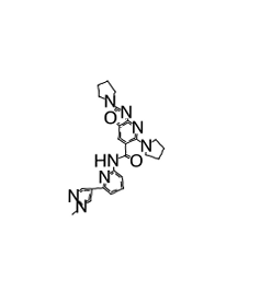 Cn1cc(-c2cccc(NC(=O)c3cc4oc(N5CCCC5)nc4nc3N3CCCC3)n2)cn1